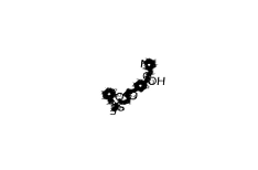 O=C1/C(=C\c2ccc(-c3ccc(C(O)OCc4cccnc4)cc3)o2)SC(=S)N1Cc1ccccc1